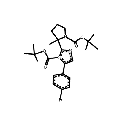 CC(C)(C)OC(=O)N1CCCC1(C)c1ncc(-c2ccc(Br)cc2)n1C(=O)OC(C)(C)C